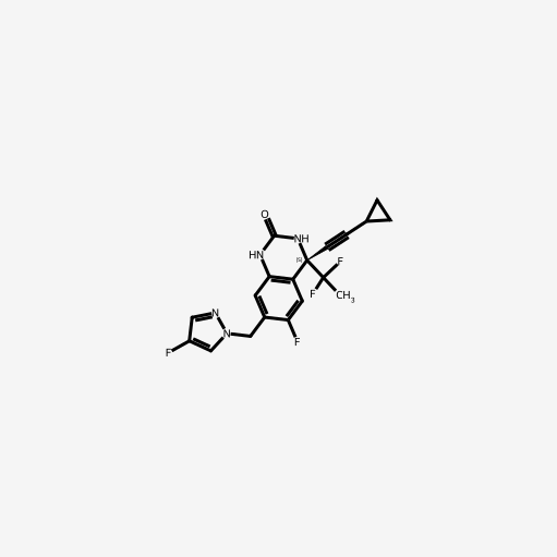 CC(F)(F)[C@@]1(C#CC2CC2)NC(=O)Nc2cc(Cn3cc(F)cn3)c(F)cc21